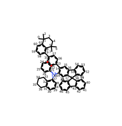 CC1(C)CCC(C)(C)c2c(-c3ccc(-c4cc5c(cc4N(c4ccccc4)c4cccc6c4CCCC6)C4(c6ccccc6-c6ccccc64)c4ccccc4-5)cc3)cccc21